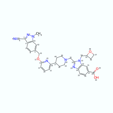 Cn1nc(C#N)c2ccc(COc3cccc(C4CCN(Cc5nc6ccc(C(=O)O)cc6n5CC5CCO5)CC4)n3)cc21